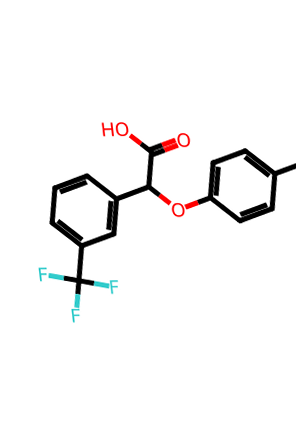 Cc1ccc(OC(C(=O)O)c2cccc(C(F)(F)F)c2)cc1